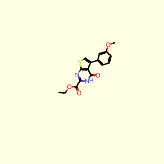 CCOC(=O)c1nc2scc(-c3cccc(OC)c3)c2c(=O)[nH]1